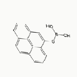 OB(O)Oc1cc2cccc3ccc4cccc1c4c32